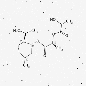 CC(O)C(=O)O[C@@H](C)C(=O)O[C@@H]1C[C@H](C)CC[C@H]1C(C)C